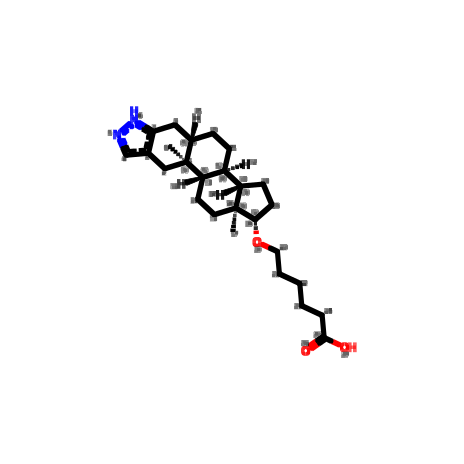 C[C@]12Cc3cn[nH]c3C[C@@H]1CC[C@@H]1[C@@H]2CC[C@]2(C)[C@@H](OCCCCCC(=O)O)CC[C@@H]12